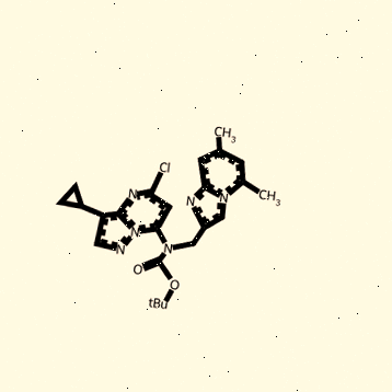 Cc1cc(C)n2cc(CN(C(=O)OC(C)(C)C)c3cc(Cl)nc4c(C5CC5)cnn34)nc2c1